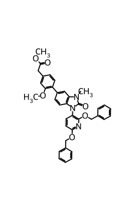 COC(=O)Cc1ccc(-c2ccc3c(c2)n(C)c(=O)n3-c2ccc(OCc3ccccc3)nc2OCc2ccccc2)c(OC)c1